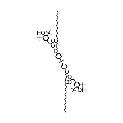 CCCCCCCCCCCCOCC(COc1ccc(C(C)(CC)c2ccc(OCC(COCCCCCCCCCCCC)OC(=O)Cc3cc(C(C)(C)C)c(O)c(C(C)(C)C)c3)cc2)cc1)OC(=O)Cc1cc(C(C)(C)C)c(O)c(C(C)(C)C)c1